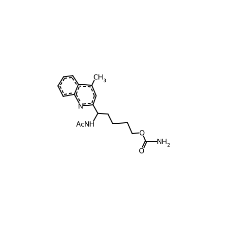 CC(=O)NC(CCCCOC(N)=O)c1cc(C)c2ccccc2n1